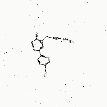 CCCCCCCC#CCn1nc(-c2ccc(Cl)cn2)ccc1=O